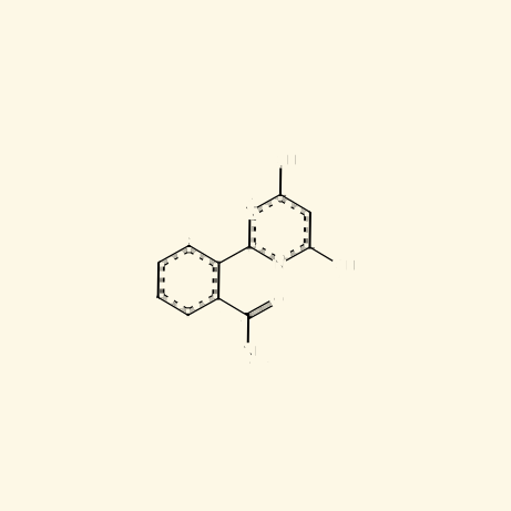 Cc1cc(C)nc(-c2ccccc2C(N)=O)n1